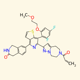 C=CC(=O)N1CCc2cc(-c3nc(-c4ccc5c(c4)CNC(=O)C5)c4ccsc4c3-c3c(F)cc(F)cc3OCCOC)nn2CC1